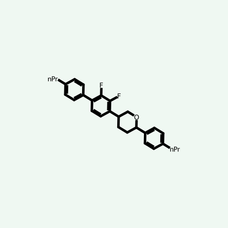 CCCc1ccc(-c2ccc(C3CCC(c4ccc(CCC)cc4)OC3)c(F)c2F)cc1